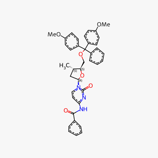 COc1ccc(C(OC[C@H]2O[C@@H](n3ccc(NC(=O)c4ccccc4)nc3=O)C[C@@H]2C)(c2ccccc2)c2ccc(OC)cc2)cc1